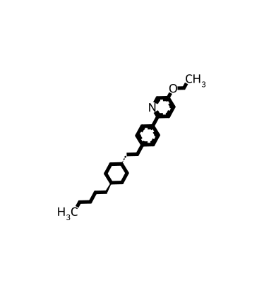 CCCCC[C@H]1CC[C@H](CCc2ccc(-c3ccc(OCC)cn3)cc2)CC1